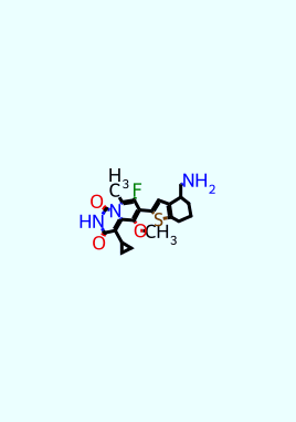 COc1c(-c2cc3c(s2)CCCC3CN)c(F)c(C)n2c(=O)[nH]c(=O)c(C3CC3)c12